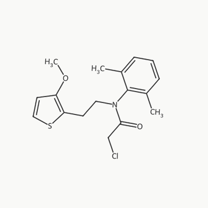 COc1ccsc1CCN(C(=O)CCl)c1c(C)cccc1C